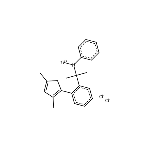 CC1=CC(C)=C(c2ccccc2C(C)(C)[N]([Ti+2])c2ccccc2)C1.[Cl-].[Cl-]